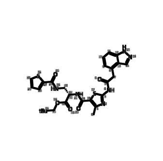 Cc1nc(NC(=O)Cc2cccc3[nH]ncc23)sc1C(=O)N[C@@H](CNC(=O)c1cccs1)C(=O)OCC(C)(C)C